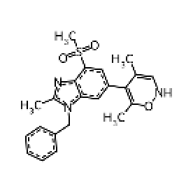 CC1=CNOC(C)=C1c1cc(S(C)(=O)=O)c2nc(C)n(Cc3ccccc3)c2c1